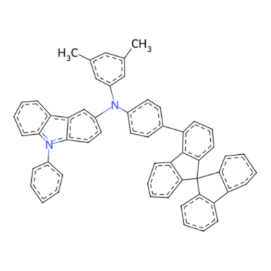 Cc1cc(C)cc(N(c2ccc(-c3cccc4c3-c3ccccc3C43c4ccccc4-c4ccccc43)cc2)c2ccc3c(c2)c2ccccc2n3-c2ccccc2)c1